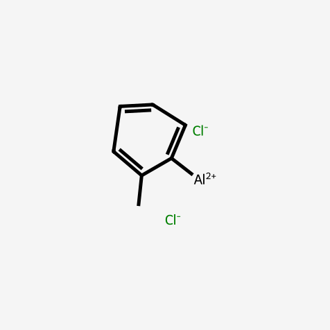 Cc1cccc[c]1[Al+2].[Cl-].[Cl-]